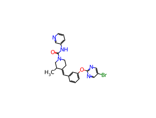 CC1CN(C(=O)Nc2cccnc2)CCC1=Cc1cccc(Oc2ncc(Br)cn2)c1